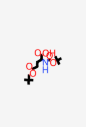 CC(C)(C)COC(=O)CCC(NC(=O)OC(C)(C)C)C(=O)O